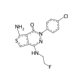 Nc1scc2c(NCCF)nn(-c3ccc(Cl)cc3)c(=O)c12